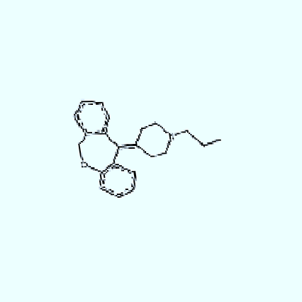 CCCN1CCC(=C2c3ccccc3COc3ccccc32)CC1